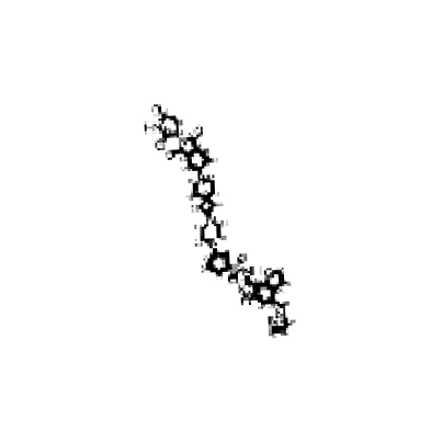 O=C1CCC(N2C(=O)c3ccc(N4CCC5(CC4)CC(N4CCN(c6cccc(S(=O)(=O)Nc7noc8cc(Cn9cccn9)c9c(c78)OCC9)c6)CC4)C5)cc3C2=O)C(=O)N1